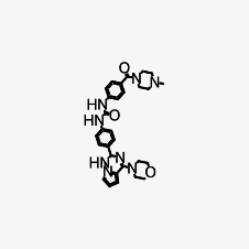 CN1CCN(C(=O)c2ccc(NC(=O)Nc3ccc(C4N=C(N5CCOCC5)c5cccn5N4)cc3)cc2)CC1